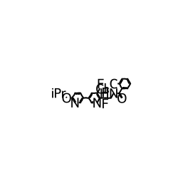 CC(C)Oc1ccc(-c2cnc(C(F)(F)CNC(=O)c3ccccc3C(F)(F)F)c(Cl)c2)cn1